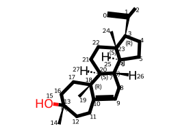 C=C(C)[C@H]1CC[C@H]2[C@@H]3CC=C4CC[C@](C)(O)CC[C@]4(C)[C@H]3CC[C@]12C